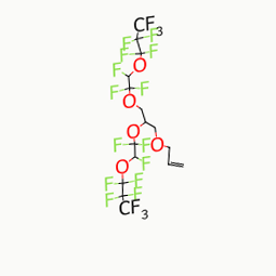 C=CCOCC(COC(F)(F)C(F)OC(F)(F)C(F)(F)C(F)(F)F)OC(F)(F)C(F)OC(F)(F)C(F)(F)C(F)(F)F